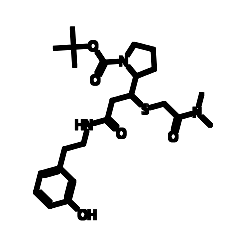 CN(C)C(=O)CSC(CC(=O)NCCc1cccc(O)c1)C1CCCN1C(=O)OC(C)(C)C